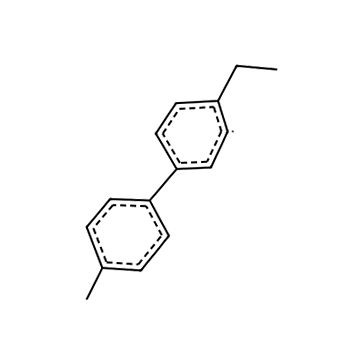 CCc1[c]cc(-c2ccc(C)cc2)cc1